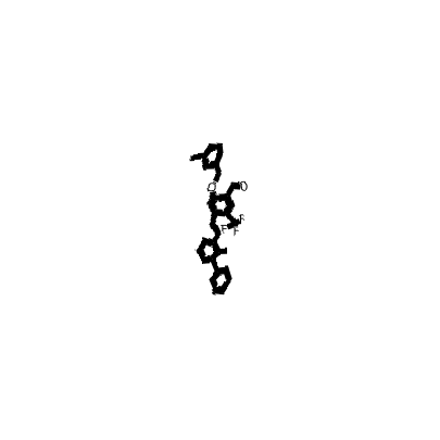 Cc1cccc(COc2cc(/C=C/c3cccc(-c4ccccc4)c3C)c(C(F)(F)F)cc2C=O)c1